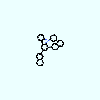 c1ccc(-n2c3ccccc3c3cc(-c4ccc5ccccc5c4)cc(-c4ccc5ccccc5c4)c32)cc1